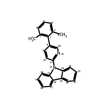 Cc1cccc(C)c1-c1ccc(-n2c3ccccc3c3ccccc32)nc1